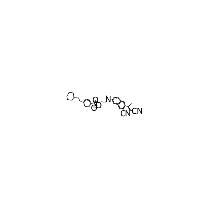 [C-]#[N+]/C(C#N)=C(/C)c1ccc2cc(N(C)CCOS(=O)(=O)c3ccc(CCC4CCCCC4)cc3)ccc2c1